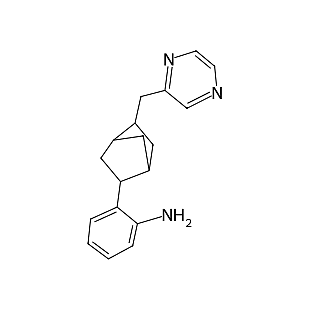 Nc1ccccc1C1CC2CC1CC2Cc1cnccn1